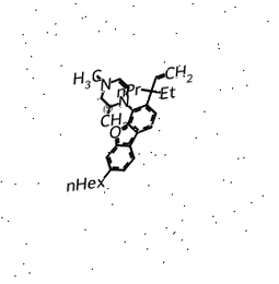 C=CC(CC)(CCC)c1ccc2c(oc3cc(CCCCCC)ccc32)c1N1C=CN(C)C[C@@H]1C